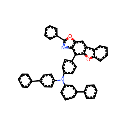 c1ccc(-c2ccc(N(c3ccc(-c4c5nc(-c6ccccc6)oc5cc5c4oc4ccccc45)cc3)c3cccc(-c4ccccc4)c3)cc2)cc1